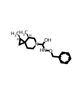 C[C@@H]1CC12CCN(C(O)NOCc1ccccc1)C[C@@H]2C